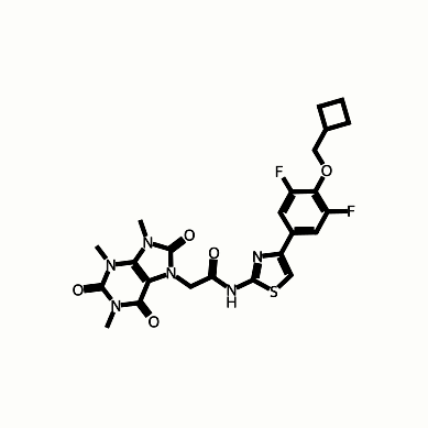 Cn1c(=O)c2c(n(C)c1=O)n(C)c(=O)n2CC(=O)Nc1nc(-c2cc(F)c(OCC3CCC3)c(F)c2)cs1